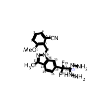 COc1cccc(C#N)c1Cn1nc(C)c2ccc(C(F)(F)/C(=N/N)NN)cc21